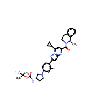 C[C@@H]1c2ccccc2CCN1C(=O)c1cc(C2CC2)n2nc(-c3ccc(N4CC[C@H](NC(=O)OC(C)(C)C)C4)cc3F)cc2n1